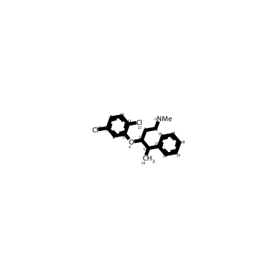 CNCCC(Oc1cc(Cl)ccc1Cl)C(C)c1ccccc1